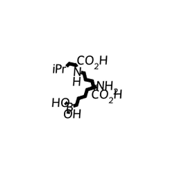 CC(C)CC(NCCC[C@@](N)(CCCCB(O)O)C(=O)O)C(=O)O